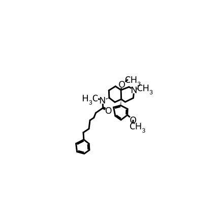 COc1cccc([C@@]23CCN(C)C[C@@]2(OC)CC[C@@H](N(C)C(=O)CCCCCc2ccccc2)C3)c1